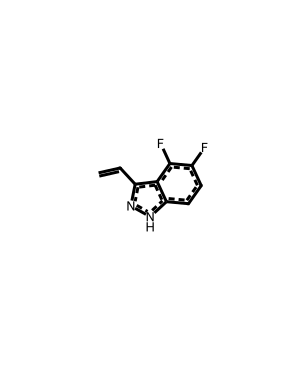 C=Cc1n[nH]c2ccc(F)c(F)c12